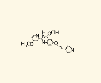 COc1ccnc(-c2nc3ccc(OCCCc4ccncc4)cc3c(=O)[nH]2)c1.Cl